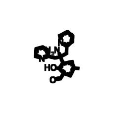 Cc1cc(C=O)c(O)c(C(N)(Cc2ccccn2)Cc2ccccn2)c1